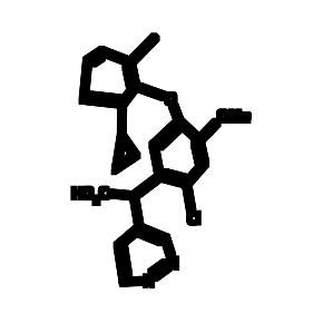 COc1cc(Cl)c(C(C(=O)O)c2ccnnc2)cc1Oc1c(C)cccc1C1CC1